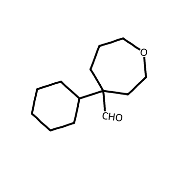 O=CC1(C2CCCCC2)CCCOCC1